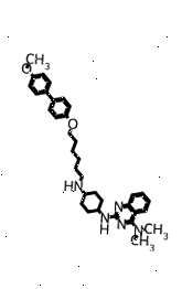 COc1ccc(-c2ccc(OCCCCCCNC3CCC(Nc4nc(N(C)C)c5ccccc5n4)CC3)cc2)cc1